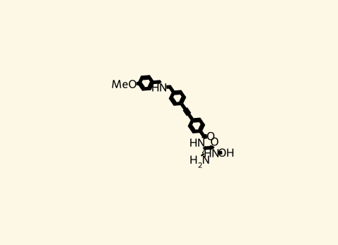 COc1ccc(CNCc2ccc(C#Cc3ccc(C(=O)N[C@@H](CN)C(=O)NO)cc3)cc2)cc1